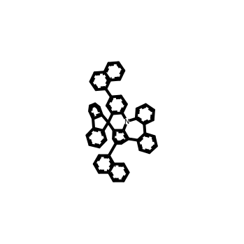 c1ccc2c(c1)-c1ccccc1N1c3ccc(-c4cccc5ccccc45)cc3C3(c4ccccc4-c4ccccc43)c3cc(-c4cccc5ccccc45)cc-2c31